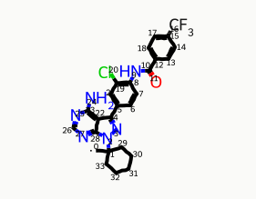 [CH2]C1(n2nc(-c3ccc(NC(=O)c4ccc(C(F)(F)F)cc4)c(Cl)c3)c3c(N)ncnc32)CCCCC1